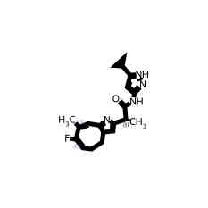 CC1=C/C2=NC([C@H](C)C(=O)Nc3cc(C4CC4)[nH]n3)=CC2CC/C=C\1F